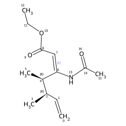 C=C[C@@H](C)[C@@H](C)/C(=C\C(=O)OCC)NC(C)=O